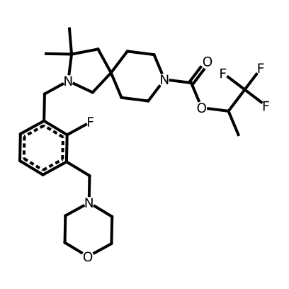 CC(OC(=O)N1CCC2(CC1)CN(Cc1cccc(CN3CCOCC3)c1F)C(C)(C)C2)C(F)(F)F